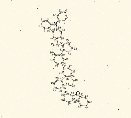 c1ccc(-n2c3ccccc3c3cc(C4CCc5ccc(-c6ccc7c(c6)-c6ccccc6C(c6cccc8c6oc6ccccc68)CC7)cc5-c5ccccc54)ccc32)cc1